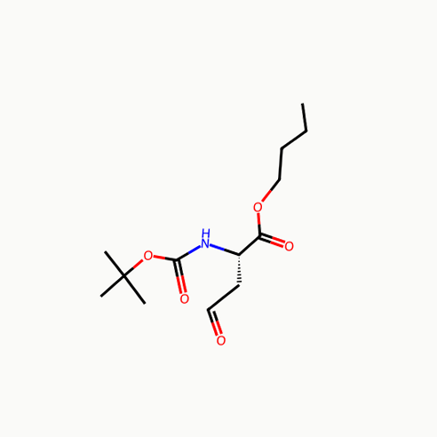 CCCCOC(=O)[C@H](CC=O)NC(=O)OC(C)(C)C